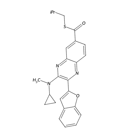 CC(C)CSC(=O)c1ccc2nc(-c3cc4ccccc4o3)c(N(C)C3CC3)nc2c1